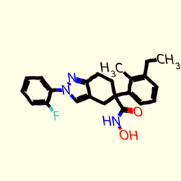 CCc1cccc(C2(C(=O)NO)CCc3nn(-c4ccccc4F)cc3C2)c1C